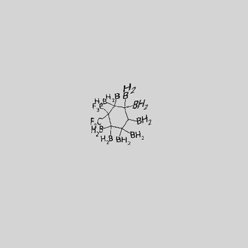 BC1C(B)(B)C(B)(B)C(C(F)(F)F)(C(F)(F)F)C(B)(B)C1(B)B